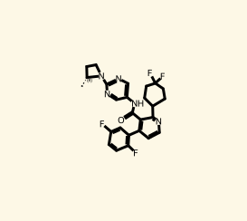 C[C@@H]1CCN1c1ncc(NC(=O)c2c(-c3cc(F)ccc3F)ccnc2C2CCC(F)(F)CC2)cn1